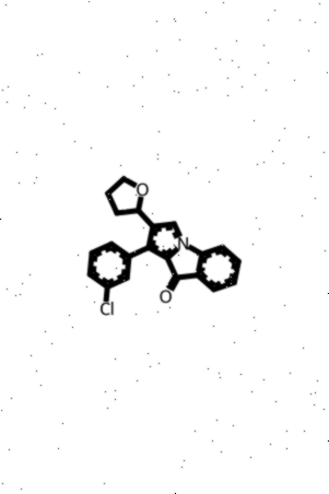 O=C1c2ccccc2-n2cc(C3CCCO3)c(-c3cccc(Cl)c3)c21